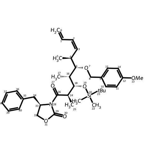 C=C/C=C\[C@H](C)[C@H](OCc1ccc(OC)cc1)[C@@H](C)[C@H](O[Si](C)(C)C(C)(C)C)[C@@H](C)C(=O)N1C(=O)OC[C@H]1Cc1ccccc1